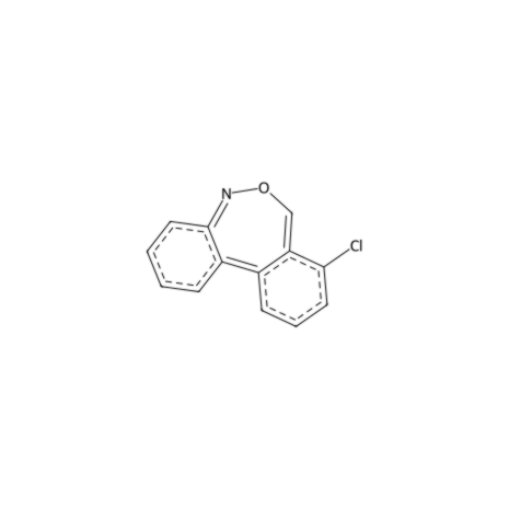 Clc1cccc2c1=CON=c1ccccc1=2